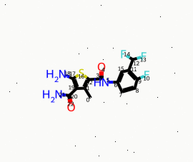 Cc1c(C(=O)Nc2ccc(F)c(C(F)F)c2)sc(N)c1C(N)=O